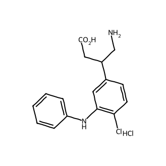 Cl.NCC(CC(=O)O)c1ccc(Cl)c(Nc2ccccc2)c1